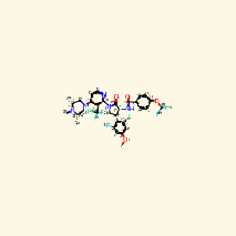 COc1cc(F)c([C@@H]2CN(c3nccc(N4C[C@@H](C)N(C)[C@@H](C)C4)c3C(F)(F)F)C(=O)[C@H]2NC(=O)c2ccc(OC(F)F)cc2)c(F)c1